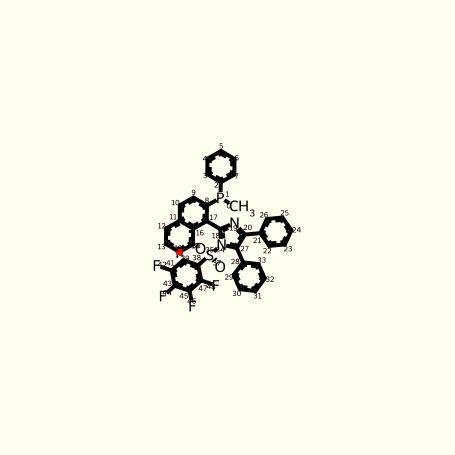 CP(c1ccccc1)c1ccc2ccccc2c1-c1nc(-c2ccccc2)c(-c2ccccc2)n1S(=O)(=O)c1c(F)c(F)c(F)c(F)c1F